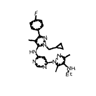 CCNc1c(C)nn(-c2cc(Nc3c(C)c(-c4ccc(F)cc4)nn3CC3CC3)ncn2)c1C